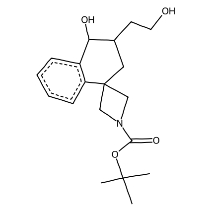 CC(C)(C)OC(=O)N1CC2(CC(CCO)C(O)c3ccccc32)C1